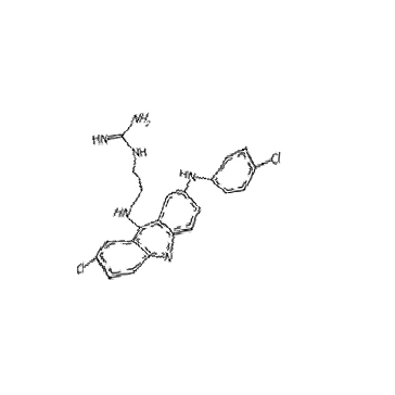 N=C(N)NCCNc1c2cc(Cl)ccc2nc2ccc(Nc3ccc(Cl)cc3)cc12